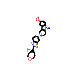 COc1ccc2c(c1)c1c(n2C)CCN(c2ccc3nc(C4C5CCOCC[C@H]54)sc3c2)C1